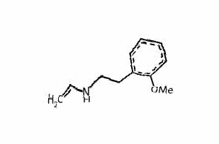 C=CNCCc1ccccc1OC